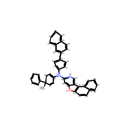 CC1(c2ccccc2)C=CC(N(c2ccc(-c3ccc4ccccc4c3)cc2)c2cc3oc4ccc5ccccc5c4c3cn2)=CC1